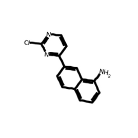 Nc1cccc2ccc(-c3ccnc(Cl)n3)cc12